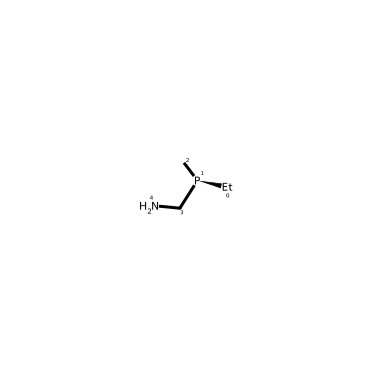 CC[P@](C)CN